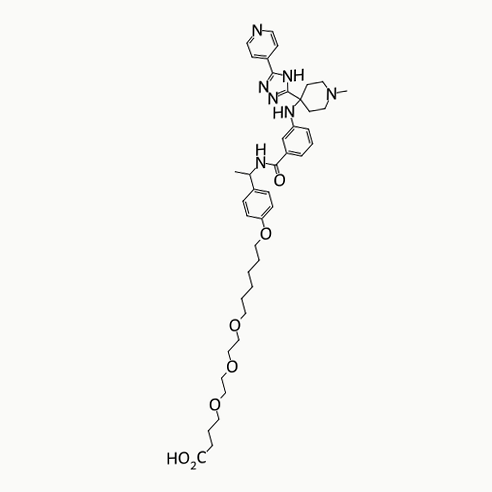 CC(NC(=O)c1cccc(NC2(c3nnc(-c4ccncc4)[nH]3)CCN(C)CC2)c1)c1ccc(OCCCCCCOCCOCCOCCCC(=O)O)cc1